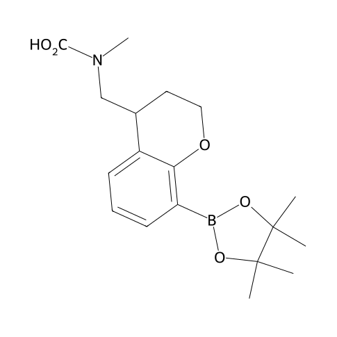 CN(CC1CCOc2c(B3OC(C)(C)C(C)(C)O3)cccc21)C(=O)O